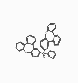 O=P(c1ccccc1)(c1ccc2c(c1)-c1ccccc1-c1ccccc1O2)c1ccc2c(c1)-c1ccccc1-c1ccccc1O2